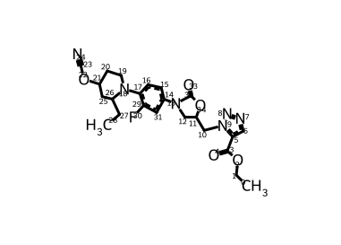 CCOC(=O)c1cnnn1CC1CN(c2ccc(N3CCC(OC#N)CC3CC)c(F)c2)C(=O)O1